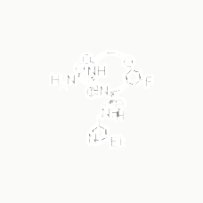 CCc1cncc(CNC[C@@H](O)[C@@H]2Cc3cc(F)cc(c3)OCCCCC(=O)N[C@@H](CC(N)=O)C(=O)N2)c1